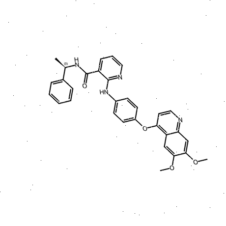 COc1cc2nccc(Oc3ccc(Nc4ncccc4C(=O)N[C@H](C)c4ccccc4)cc3)c2cc1OC